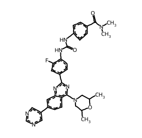 CC1CN(c2nc(-c3ccc(NC(=O)Nc4ccc(C(=O)N(C)C)cc4)c(F)c3)nc3cc(-c4cncnc4)ccc23)CC(C)O1